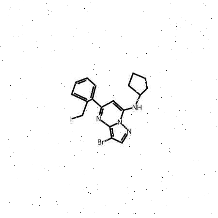 Brc1cnn2c(NC3CCCC3)cc(-c3ccccc3CI)nc12